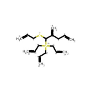 C=CCS[C](C(=C)CC=C)S(CC=C)(CC=C)CC=C